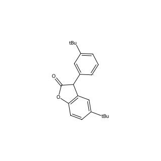 CC(C)(C)c1cc[c]c(C2C(=O)Oc3ccc(C(C)(C)C)cc32)c1